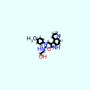 Cc1ccc(N(C=C2C(=O)Nc3ccc4ncccc4c32)CNCCO)cc1